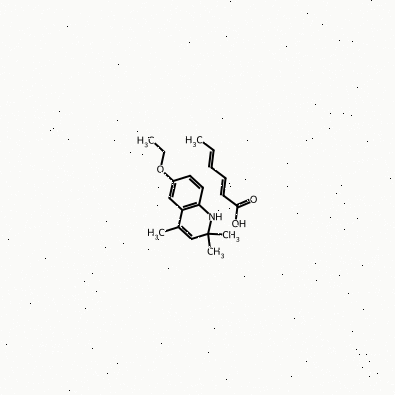 CC=CC=CC(=O)O.CCOc1ccc2c(c1)C(C)=CC(C)(C)N2